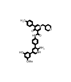 COc1cc(O)cc(C2=CNC(N)C(c3ccc(NC(=O)c4cn(CC5CCOCC5)cc(-c5ccc(C)cc5)c4=O)cc3)=C2)c1